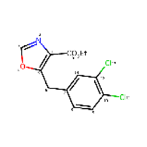 CCOC(=O)c1ncoc1Cc1ccc(Cl)c(Cl)c1